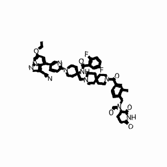 CCOc1cc(-c2ccc(N3CCC(CN4CCC5(CC4)CCN(C(=O)c4ccc(CN(C=O)C6CCC(=O)NC6=O)c(C)c4)CC5)(NC(=O)c4cc(F)ccc4F)CC3)nc2)c2c(C#N)cnn2c1